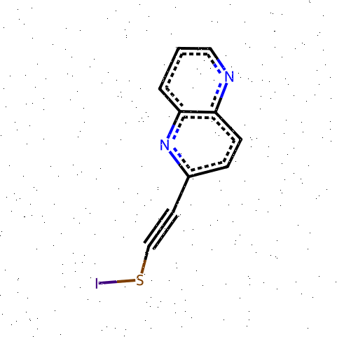 ISC#Cc1ccc2ncccc2n1